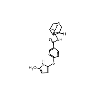 Cc1ccc(Sc2ccc(C(=O)N[C@H]3CN4CCC3CC4)cc2)[nH]1